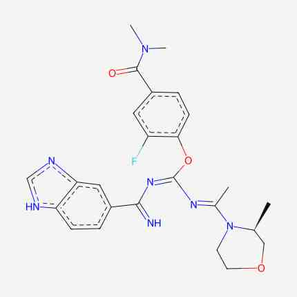 C/C(=N\C(=N/C(=N)c1ccc2[nH]cnc2c1)Oc1ccc(C(=O)N(C)C)cc1F)N1CCOC[C@@H]1C